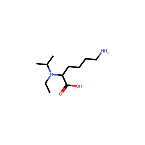 CCN(C(C)C)C(CCCCN)C(=O)O